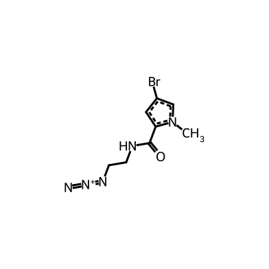 Cn1cc(Br)cc1C(=O)NCCN=[N+]=[N-]